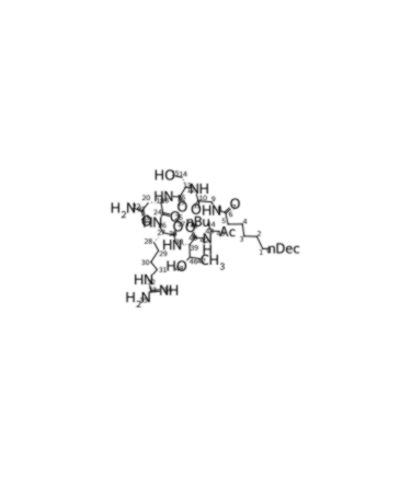 CCCCCCCCCCCCCCCC(=O)NCC(=O)N[C@@H](CO)C(=O)N[C@@H](CC(N)=O)C(=O)N[C@@H](CCCCNC(=N)N)C(=O)N[C@H](C(=O)N[C@@H](CCCC)C(C)=O)C(C)O